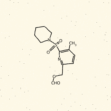 Cc1ccc(COC=O)nc1S(=O)(=O)N1CCCCC1